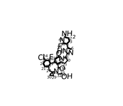 Nc1ccc(-c2cnc([C@H]3CCc4c5c(cc(=O)n43)-c3c(ccc(Cl)c3F)CC3(CC3)N(CCO)C5=O)[nH]2)c(F)n1